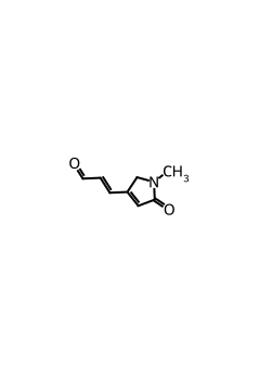 CN1CC(/C=C/C=O)=CC1=O